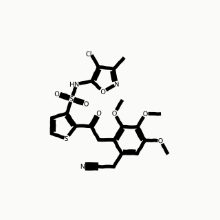 COc1cc(CC#N)c(CC(=O)c2sccc2S(=O)(=O)Nc2onc(C)c2Cl)c(OC)c1OC